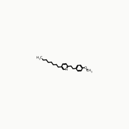 CCCCCCCCc1ccc(CCc2ccc(OC)cc2)nc1